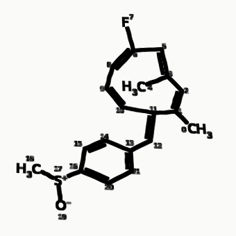 C/C1=C/C(C)=C/C(F)=C\C=CC1=Cc1ccc([S+](C)[O-])cc1